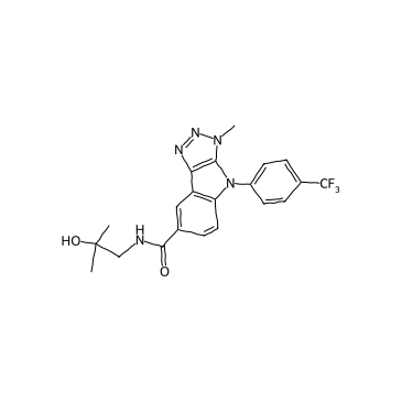 Cn1nnc2c3cc(C(=O)NCC(C)(C)O)ccc3n(-c3ccc(C(F)(F)F)cc3)c21